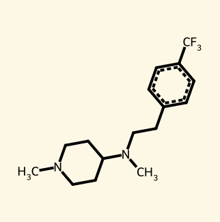 CN1CCC(N(C)CCc2ccc(C(F)(F)F)cc2)CC1